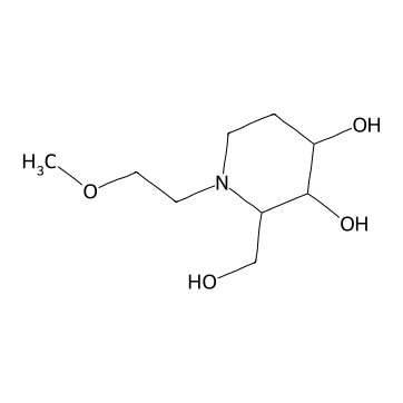 COCCN1CCC(O)C(O)C1CO